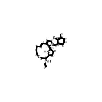 C=CNC1CCCCC/C=C/C2=CCN(Cc3cccc(C)c3F)/C2=C2\CCC1N2